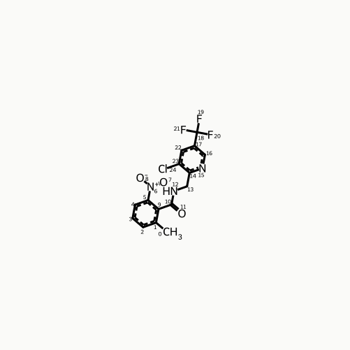 Cc1cccc([N+](=O)[O-])c1C(=O)NCc1ncc(C(F)(F)F)cc1Cl